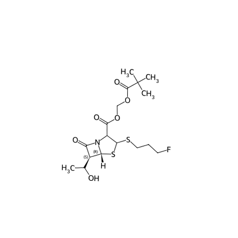 CC(O)[C@H]1C(=O)N2C(C(=O)OCOC(=O)C(C)(C)C)C(SCCCF)S[C@H]12